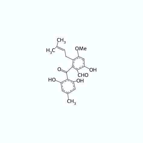 COc1cc(O)c(C=O)c(C(=O)c2c(O)cc(C)cc2O)c1CC=C(C)C